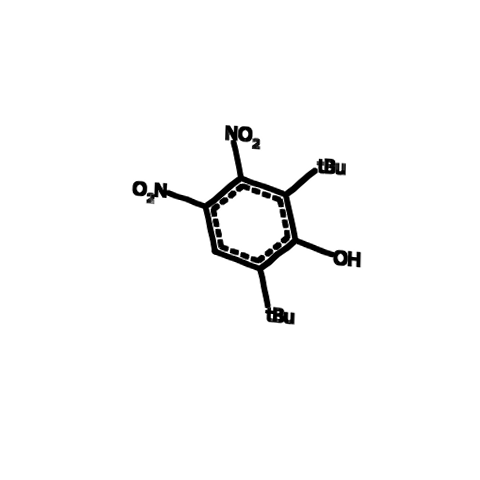 CC(C)(C)c1cc([N+](=O)[O-])c([N+](=O)[O-])c(C(C)(C)C)c1O